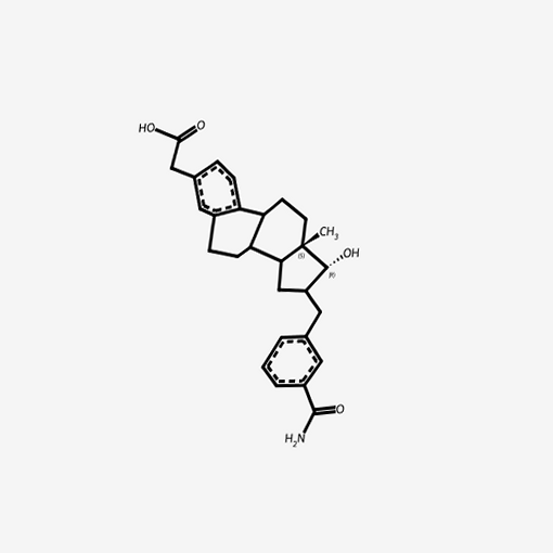 C[C@]12CCC3c4ccc(CC(=O)O)cc4CCC3C1CC(Cc1cccc(C(N)=O)c1)[C@H]2O